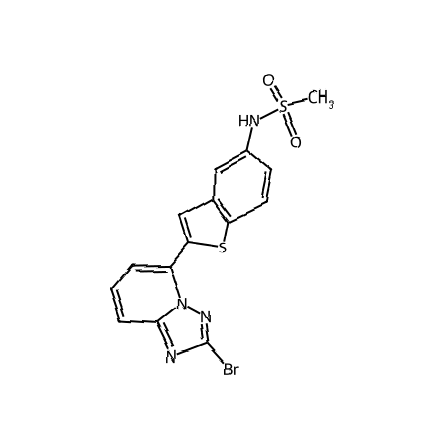 CS(=O)(=O)Nc1ccc2sc(-c3cccc4nc(Br)nn34)cc2c1